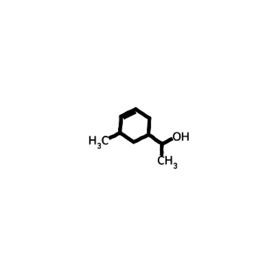 CC1C=CCC(C(C)O)C1